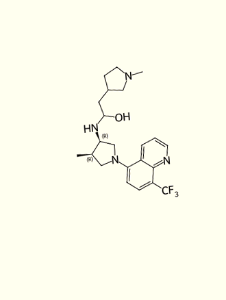 C[C@@H]1CN(c2ccc(C(F)(F)F)c3ncccc23)C[C@@H]1NC(O)CC1CCN(C)C1